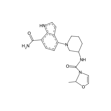 CC1OC=CN1C(=O)NC1CCCN(c2ccc(C(N)=O)c3[nH]ccc23)C1